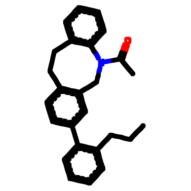 CCCc1ccccc1-c1ccc2c(c1)CN(C(C)=O)c1ccccc1CC2